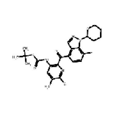 Cc1cc(NC(=O)OC(C)(C)C)c(C(=O)c2ccc(F)c3c2cnn3C2CCCCO2)nc1Cl